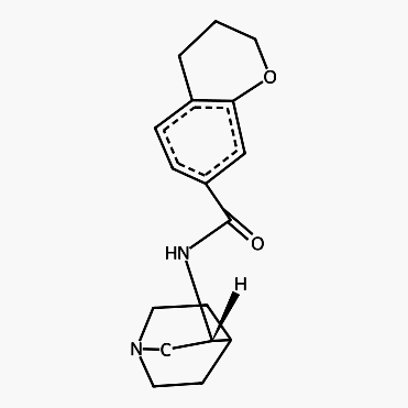 O=C(N[C@H]1CN2CCC1CC2)c1ccc2c(c1)OCCC2